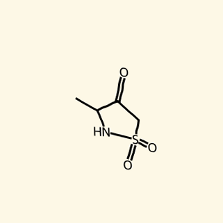 CC1NS(=O)(=O)CC1=O